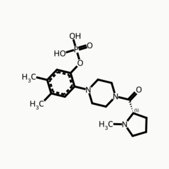 Cc1cc(OP(=O)(O)O)c(N2CCN(C(=O)[C@@H]3CCCN3C)CC2)cc1C